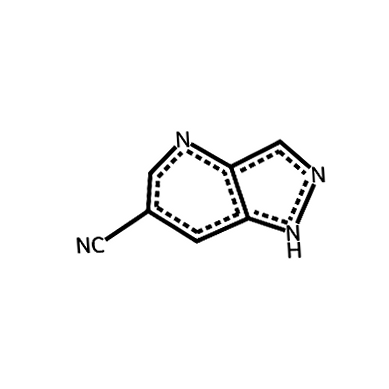 N#Cc1cnc2cn[nH]c2c1